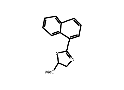 COC1CN=C(c2cccc3ccccc23)S1